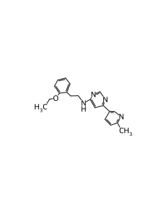 CCOc1ccccc1CCNc1cc(-c2ccc(C)nc2)ncn1